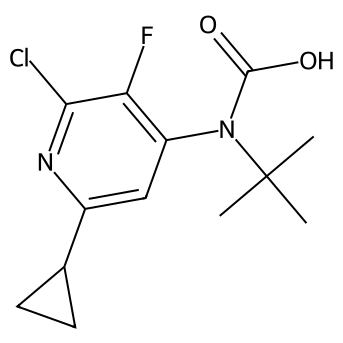 CC(C)(C)N(C(=O)O)c1cc(C2CC2)nc(Cl)c1F